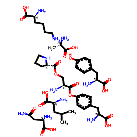 CC(C)C[C@H](N)C(=O)O.C[C@H](N)C(=O)O.NC(=O)C[C@H](N)C(=O)O.NCCCC[C@H](N)C(=O)O.N[C@@H](Cc1ccc(O)cc1)C(=O)O.N[C@@H](Cc1ccc(OC(=O)[C@@H](N)COC(=O)[C@@H]2CCCN2)cc1)C(=O)O